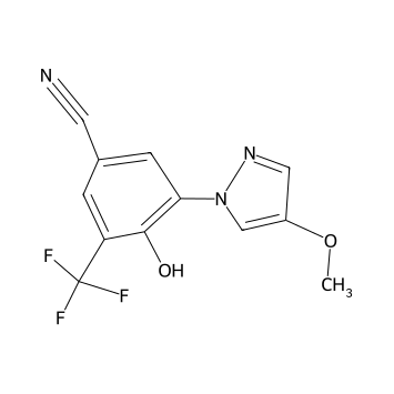 COc1cnn(-c2cc(C#N)cc(C(F)(F)F)c2O)c1